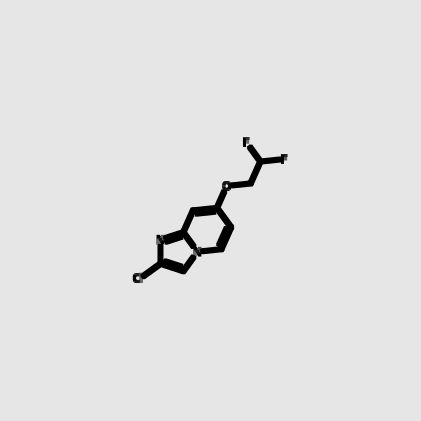 FC(F)COc1ccn2cc(Cl)nc2c1